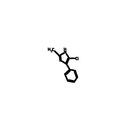 Cc1nc(-c2ccccc2)c(Cl)[nH]1